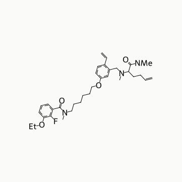 C=CCCC(C(=O)NC)N(C)Cc1cc(OCCCCCCN(C)C(=O)c2cccc(OCC)c2F)ccc1C=C